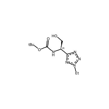 CCn1nnc([C@H](CO)NC(=O)OC(C)(C)C)n1